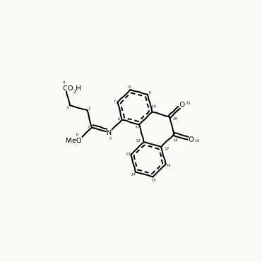 COC(CCC(=O)O)=Nc1cccc2c1-c1ccccc1C(=O)C2=O